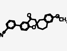 COc1ccc2c(c1)CCCC1(CC(=O)c3cc(-c4cccc(C#N)c4)ccc3O1)C2